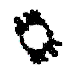 C[C@@H](C(=O)N[C@H](C(=O)N1C[C@@H]2C[C@H]1C(=O)N[C@@H](Cc1ccc3ccccc3c1)C(=O)N[C@H](C(=O)OC(C)(C)C)Cc1ccc(cc1)OCc1cn(nn1)[C@H]1C[C@@H](C(=O)N[C@@H](Cc3ccc4ccccc4c3)C(=O)N[C@H](c3nnn[nH]3)Cc3ccc(cc3)OCc3cn2nn3)N(C(=O)[C@@H](NC(=O)[C@H](C)N(C)C(=O)OC(C)(C)C)C(C)(C)C)C1)C(C)(C)C)N(C)C(=O)OC(C)(C)C